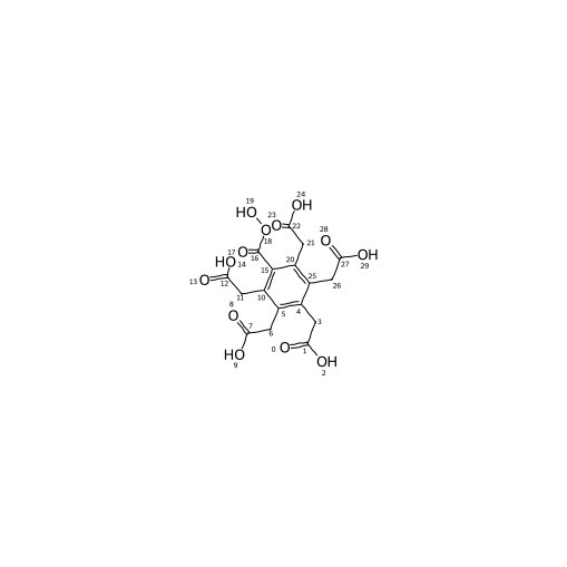 O=C(O)Cc1c(CC(=O)O)c(CC(=O)O)c(C(=O)OO)c(CC(=O)O)c1CC(=O)O